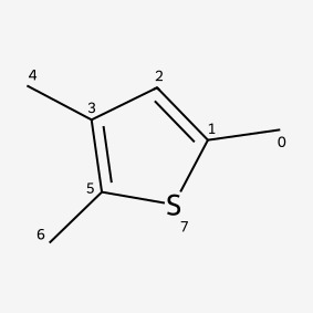 Cc1cc(C)c(C)s1